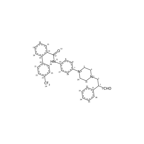 O=CC(CN1CCN(c2ccc(NC(=O)c3ccccc3-c3ccc(C(F)(F)F)cc3)cc2)CC1)c1ccccc1